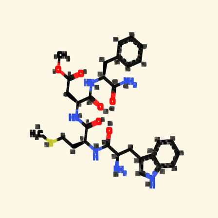 COC(=O)C[C@H](NC(=O)[C@H](CCSC)NC(=O)[C@H](N)Cc1c[nH]c2ccccc12)C(=O)N[C@@H](Cc1ccccc1)C(N)=O